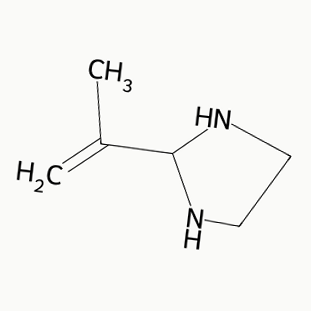 C=C(C)C1NCCN1